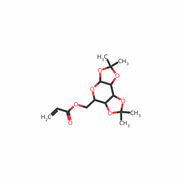 C=CC(=O)OCC1OC2OC(C)(C)OC2C2OC(C)(C)OC12